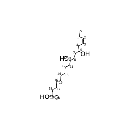 CC/C=C\CC(O)CCC(O)CCCCCCCCC(=O)O